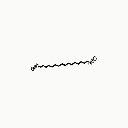 O=C=NCCCCCCCC=CCCCCCCCN=C=O